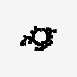 COc1cc2ncnc3c2cc1OCCN(C(=O)CN(C)CCO)CC(=O)NCCCc1ccc(Cl)cc1N3